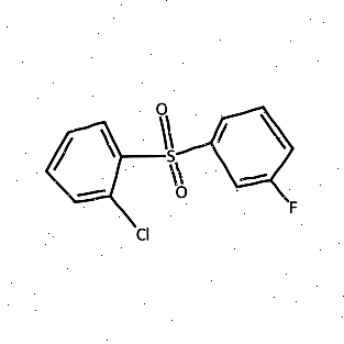 O=S(=O)(c1[c]c(F)ccc1)c1ccccc1Cl